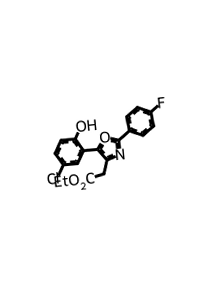 CCOC(=O)Cc1nc(-c2ccc(F)cc2)oc1-c1cc(Cl)ccc1O